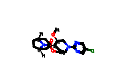 CCO[C@@H]1CN(c2ncc(Cl)cn2)CC[C@@H]1C1C[C@H]2CC[C@@H](C1)N2C(=O)OC(C)(C)C